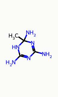 CC1(N)N=C(N)N=C(N)N1